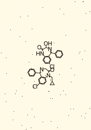 O=C1CN=C(c2ccccc2)c2cc(Cl)ccc2N1CC1CC1.O=C1Nc2ccc(Cl)cc2C(c2ccccc2)=NC1O